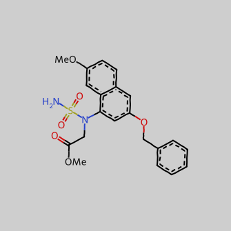 COC(=O)CN(c1cc(OCc2ccccc2)cc2ccc(OC)cc12)S(N)(=O)=O